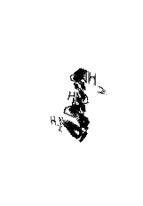 CCN(Cc1ccc(-n2ccc(NC(=O)N3CCN(C(=O)C4(N)CCC4)CC3)nc2=O)cc1)C1CCC(N)CC1